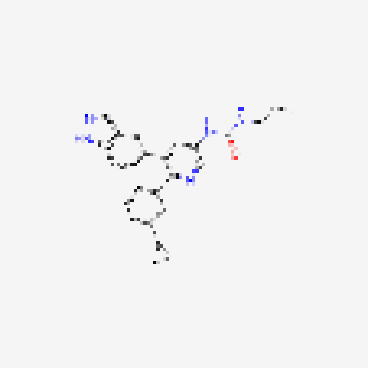 CCCNC(=O)Nc1cnc(-c2cccc(C3CC3)c2)c(-c2ccc3[nH]ncc3c2)c1